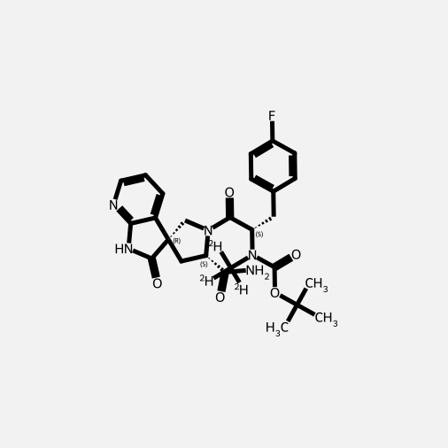 [2H]C([2H])([2H])N(C(=O)OC(C)(C)C)[C@@H](Cc1ccc(F)cc1)C(=O)N1C[C@]2(C[C@H]1C(N)=O)C(=O)Nc1ncccc12